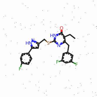 CCc1c(Cc2cc(F)cc(F)c2)nc(SCc2cc(-c3ccc(F)cc3)[nH]n2)[nH]c1=O